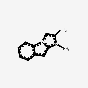 Cc1cn2c3ccccc3cc2n1N